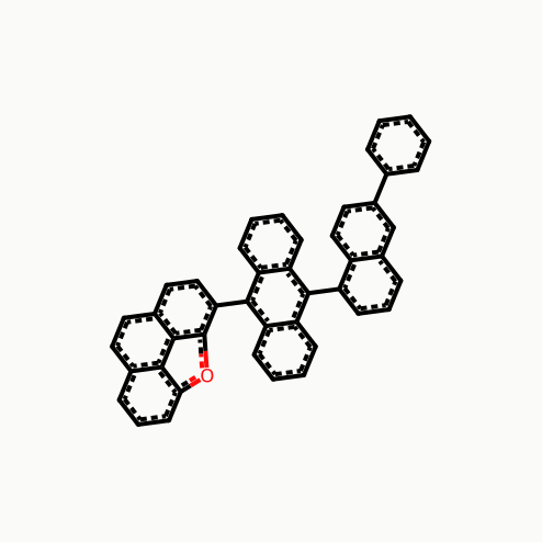 c1ccc(-c2ccc3c(-c4c5ccccc5c(-c5ccc6ccc7cccc8oc5c6c78)c5ccccc45)cccc3c2)cc1